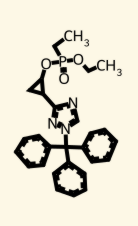 CCOP(=O)(CC)OC1CC1c1ncn(C(c2ccccc2)(c2ccccc2)c2ccccc2)n1